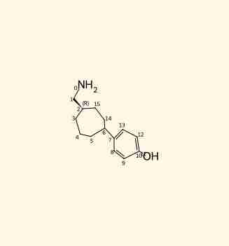 NC[C@@H]1CCCC(c2ccc(O)cc2)CC1